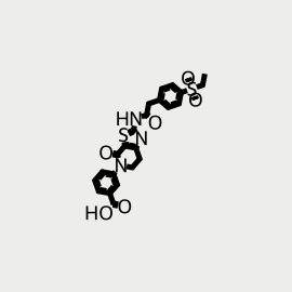 CCS(=O)(=O)c1ccc(CC(=O)Nc2nc3c(s2)C(=O)N(c2cccc(C(=O)O)c2)CC3)cc1